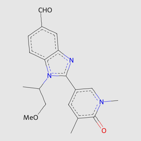 COCC(C)n1c(-c2cc(C)c(=O)n(C)c2)nc2cc(C=O)ccc21